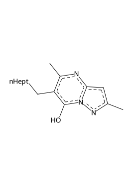 CCCCCCCCc1c(C)nc2cc(C)nn2c1O